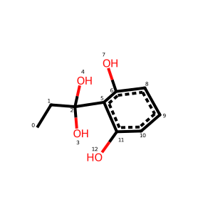 CCC(O)(O)c1c(O)cccc1O